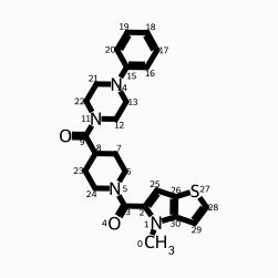 Cn1c(C(=O)N2CCC(C(=O)N3CCN(c4ccccc4)CC3)CC2)cc2sccc21